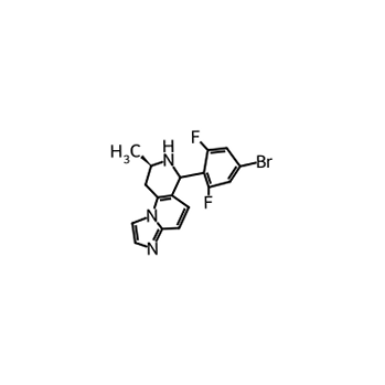 C[C@@H]1Cc2c(ccc3nccn23)C(c2c(F)cc(Br)cc2F)N1